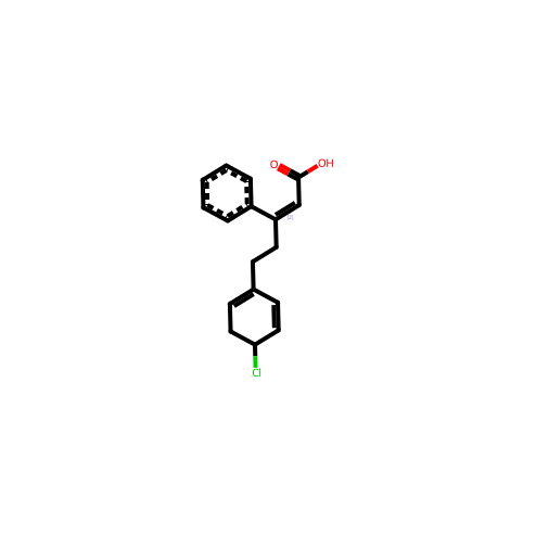 O=C(O)/C=C(/CCC1=CCC(Cl)C=C1)c1ccccc1